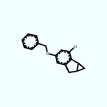 Clc1cc(OCc2ccccc2)cc2c1C1CC1C2